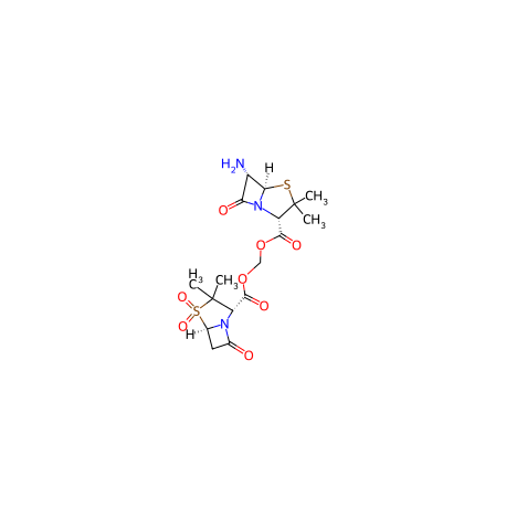 CC1(C)S[C@@H]2[C@@H](N)C(=O)N2[C@H]1C(=O)OCOC(=O)[C@@H]1N2C(=O)C[C@H]2S(=O)(=O)C1(C)C